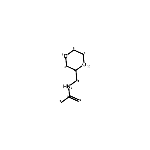 C=C(C)NCC1COCCO1